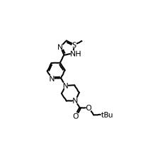 CS1=CN=C(c2ccnc(N3CCN(C(=O)OCC(C)(C)C)CC3)c2)N1